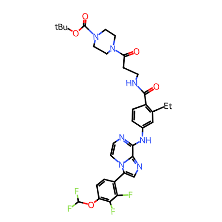 CCc1cc(Nc2nccn3c(-c4ccc(OC(F)F)c(F)c4F)cnc23)ccc1C(=O)NCCC(=O)N1CCN(C(=O)OC(C)(C)C)CC1